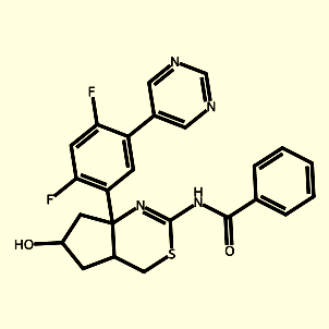 O=C(NC1=NC2(c3cc(-c4cncnc4)c(F)cc3F)CC(O)CC2CS1)c1ccccc1